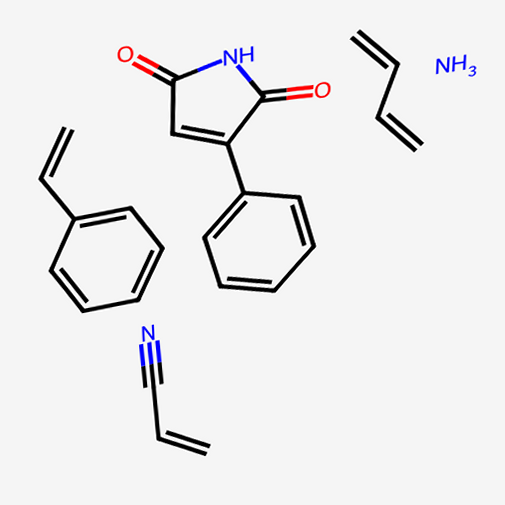 C=CC#N.C=CC=C.C=Cc1ccccc1.N.O=C1C=C(c2ccccc2)C(=O)N1